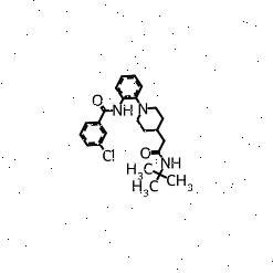 CC(C)(C)NC(=O)CC1CCN(c2ccccc2NC(=O)c2cccc(Cl)c2)CC1